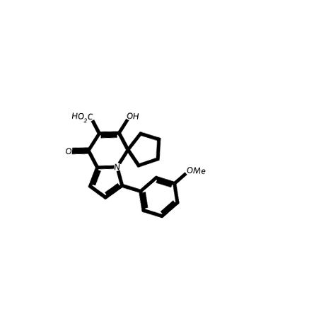 COc1cccc(-c2ccc3n2C2(CCCC2)C(O)=C(C(=O)O)C3=O)c1